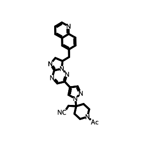 CC(=O)N1CCC(CC#N)(n2cc(C3=NN4C(=NCC4Cc4ccc5ncccc5c4)N=C3)cn2)CC1